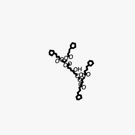 O=C(CCCC1CCCCC1)OCC(COC(=O)CCCC1CCCCC1)OC(=O)CCCC(O)CCCC(=O)OC(COC(=O)CCCC1CCCCC1)COC(=O)CCCC1CCCCC1